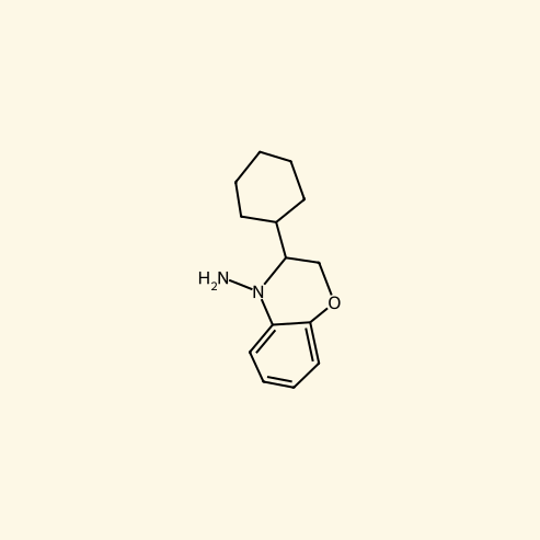 NN1c2ccccc2OCC1C1CCCCC1